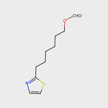 O=[C]OCCCCCCc1nccs1